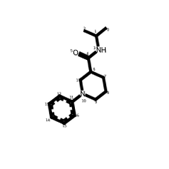 CC(C)NC(=O)C1CCCN(c2ccccc2)C1